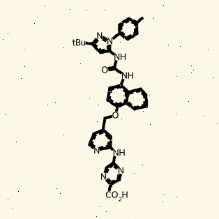 Cc1ccc(-n2nc(C(C)(C)C)cc2NC(=O)Nc2ccc(OCc3ccnc(Nc4cnc(C(=O)O)cn4)c3)c3ccccc23)cc1